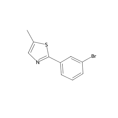 Cc1cnc(-c2cccc(Br)c2)s1